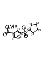 COC(=O)c1csc(S(=O)(=O)C2CCCC2)c1